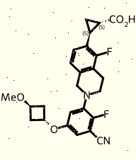 CO[C@H]1C[C@H](Oc2cc(C#N)c(F)c(N3CCc4c(ccc([C@H]5C[C@@H]5C(=O)O)c4F)C3)c2)C1